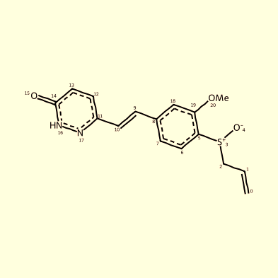 C=CC[S+]([O-])c1ccc(/C=C/c2ccc(=O)[nH]n2)cc1OC